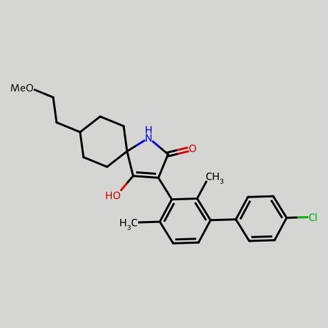 COCCC1CCC2(CC1)NC(=O)C(c1c(C)ccc(-c3ccc(Cl)cc3)c1C)=C2O